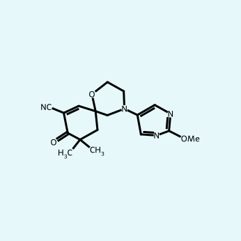 COc1ncc(N2CCOC3(C=C(C#N)C(=O)C(C)(C)C3)C2)cn1